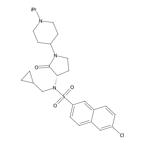 CC(C)N1CCC(N2CC[C@H](N(CC3CC3)S(=O)(=O)c3ccc4cc(Cl)ccc4c3)C2=O)CC1